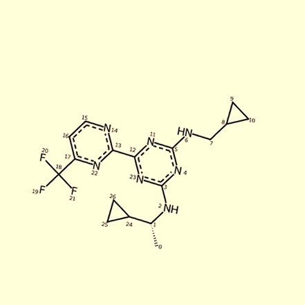 C[C@@H](Nc1nc(NCC2CC2)nc(-c2nccc(C(F)(F)F)n2)n1)C1CC1